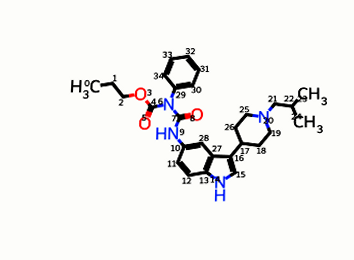 CCCOC(=O)N(C(=O)Nc1ccc2[nH]cc(C3CCN(CC(C)C)CC3)c2c1)c1ccccc1